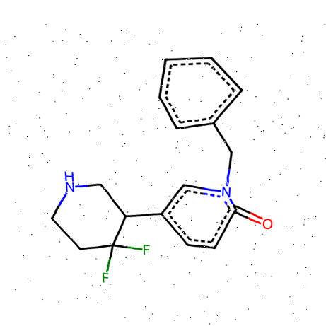 O=c1ccc(C2CNCCC2(F)F)cn1Cc1ccccc1